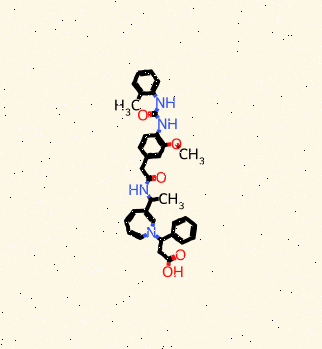 COc1cc(CC(=O)NC(C)C2=CN(C(CC(=O)O)c3ccccc3)C=CC=C2)ccc1NC(=O)Nc1ccccc1C